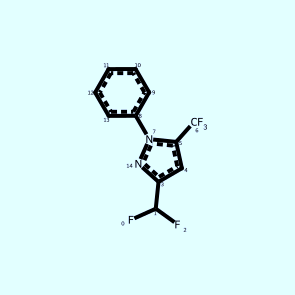 FC(F)c1cc(C(F)(F)F)n(-c2ccccc2)n1